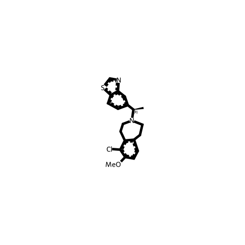 COc1ccc2c(c1Cl)CCN([C@H](C)c1ccc3scnc3c1)CC2